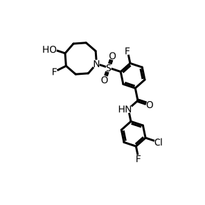 O=C(Nc1ccc(F)c(Cl)c1)c1ccc(F)c(S(=O)(=O)N2CCCC(O)C(F)CC2)c1